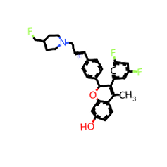 CC1=C(c2cc(F)cc(F)c2)C(c2ccc(/C=C/CN3CCC(CF)CC3)cc2)Oc2cc(O)ccc21